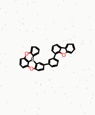 c1cc(-c2ccc3c(c2)B2c4ccccc4Oc4cccc(c42)O3)cc(-c2cccc3c2oc2ccccc23)c1